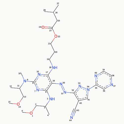 COCC(C)Nc1nc(N(C)C(C)COC)nc(NCCCOC(=O)CC(C)C)c1N=Nc1nn(-c2cnccn2)cc1C#N